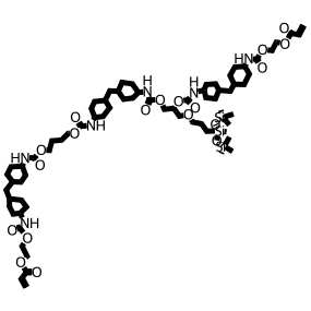 C=CC(=O)OCCOC(=O)NC1CCC(CC2CCC(NC(=O)OCCCCOC(=O)NC3CCC(CC4CCC(NC(=O)OCC(COCCC[Si](C)(O[Si](C)(C)C)O[Si](C)(C)C)OC(=O)NC5CCC(CC6CCC(NC(=O)OCCOC(=O)C=C)CC6)CC5)CC4)CC3)CC2)CC1